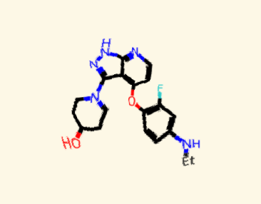 CCNc1ccc(Oc2ccnc3[nH]nc(N4CCC(O)CC4)c23)c(F)c1